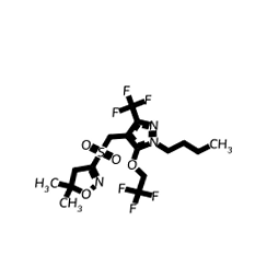 CCCCn1nc(C(F)(F)F)c(CS(=O)(=O)C2=NOC(C)(C)C2)c1OCC(F)(F)F